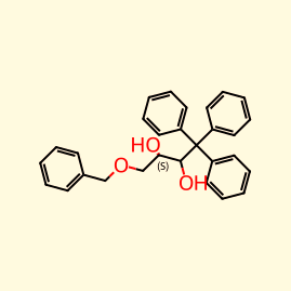 OC([C@@H](O)COCc1ccccc1)C(c1ccccc1)(c1ccccc1)c1ccccc1